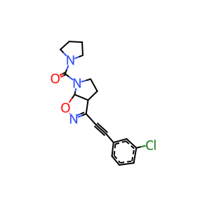 O=C(N1CCCC1)N1CCC2C(C#Cc3cccc(Cl)c3)=NOC21